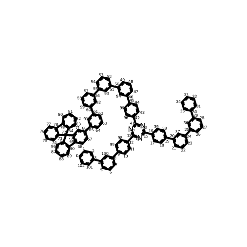 c1ccc(-c2cccc(-c3ccc(-c4nc(-c5ccc(-c6cccc(-c7cccc(-c8ccccc8)c7)c6)cc5)nc(-c5ccc(-c6cccc(-c7cccc(-c8cccc(-c9cccc(-c%10ccc%11c(c%10)C%10(c%12ccccc%12-c%12ccccc%12%10)c%10ccccc%10-%11)c9)c8)c7)c6)cc5)n4)cc3)c2)cc1